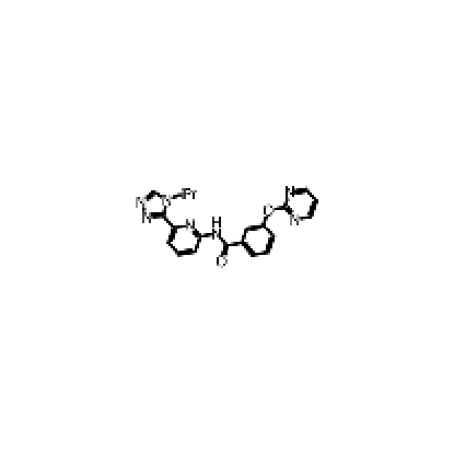 CC(C)n1cnnc1-c1cccc(NC(=O)c2cccc(Oc3ncccn3)c2)n1